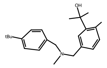 Cc1ccc(CN(C)Cc2ccc(C(C)(C)C)cc2)cc1C(C)(C)O